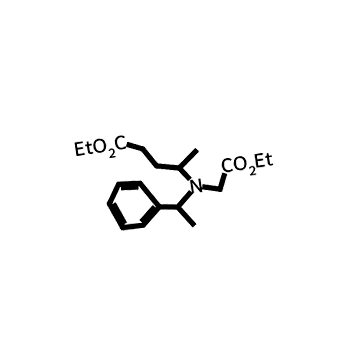 CCOC(=O)CCC(C)N(CC(=O)OCC)C(C)c1ccccc1